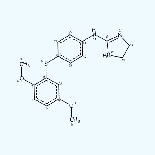 COc1ccc(OC)c(Sc2ccc(NC3=NCCN3)cc2)c1